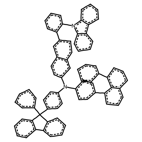 c1ccc(-c2cccc3cccc(-c4ccc(N(c5ccc(C6(c7ccccc7)c7ccccc7-c7ccccc76)cc5)c5ccc6cc(-c7ccccc7-n7c8ccccc8c8ccccc87)ccc6c5)cc4)c23)cc1